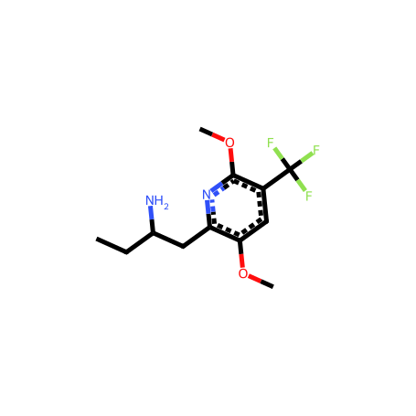 CCC(N)Cc1nc(OC)c(C(F)(F)F)cc1OC